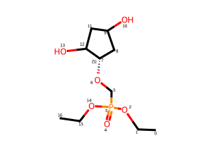 CCOP(=O)(CO[C@H]1CC(O)CC1O)OCC